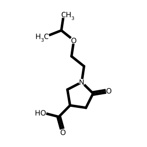 CC(C)OCCN1CC(C(=O)O)CC1=O